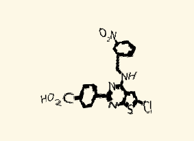 O=C(O)c1ccc(-c2nc(NCc3cccc([N+](=O)[O-])c3)c3cc(Cl)sc3n2)cc1